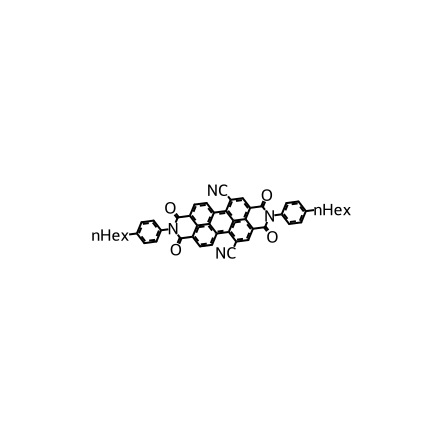 CCCCCCc1ccc(N2C(=O)c3ccc4c5c(C#N)cc6c7c(cc(C#N)c(c8ccc(c3c48)C2=O)c75)C(=O)N(c2ccc(CCCCCC)cc2)C6=O)cc1